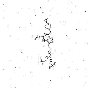 COc1ccc(Sc2nc([AsH2])nc3c2ncn3CCOCP(OCC(F)(F)F)OCC(F)(F)F)cc1